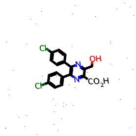 O=C(O)c1nc(-c2ccc(Cl)cc2)c(-c2ccc(Cl)cc2)nc1CO